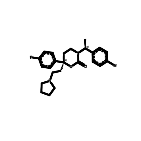 C[C@@H](c1ccc(Br)cc1)N1CC[C@](CCN2CCCC2)(c2ccc(F)cc2)OC1=O